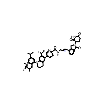 Cc1cc2c(N3CCCc4cc(-c5ccc(C(=O)NC/C=C/c6cccc7c6CN(C6CCC(=O)NC6=O)C7=O)nc5)c(C(F)F)cc43)cc(C(C)C)cc2n(C)c1=O